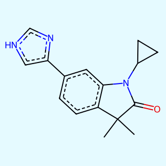 CC1(C)C(=O)N(C2CC2)c2cc(-c3c[nH]cn3)ccc21